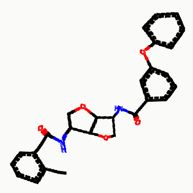 Cc1ccccc1C(=O)NC1COC2C(NC(=O)c3cccc(Oc4ccccc4)c3)COC12